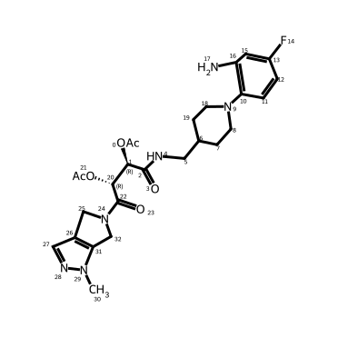 CC(=O)O[C@@H](C(=O)NCC1CCN(c2ccc(F)cc2N)CC1)[C@@H](OC(C)=O)C(=O)N1Cc2cnn(C)c2C1